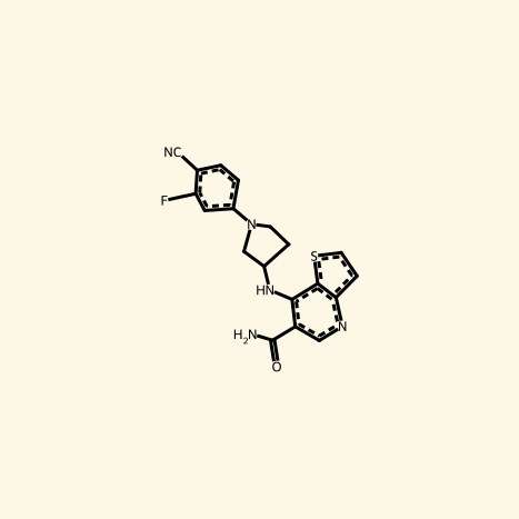 N#Cc1ccc(N2CCC(Nc3c(C(N)=O)cnc4ccsc34)C2)cc1F